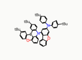 CC(C)(C)c1ccc(N(c2ccc(C(C)(C)C)cc2)c2cc(N3c4ccc(C(C)(C)C)cc4B4c5cc(C(C)(C)C)ccc5Oc5cccc3c54)c3c(c2)oc2ccccc23)cc1